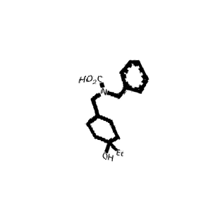 CCC1(O)CCC(CN(Cc2ccccc2)C(=O)O)CC1